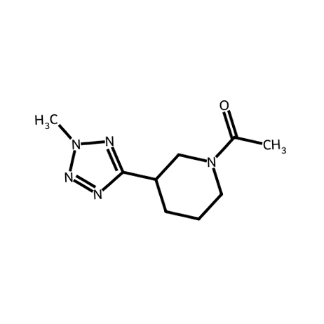 CC(=O)N1CCCC(c2nnn(C)n2)C1